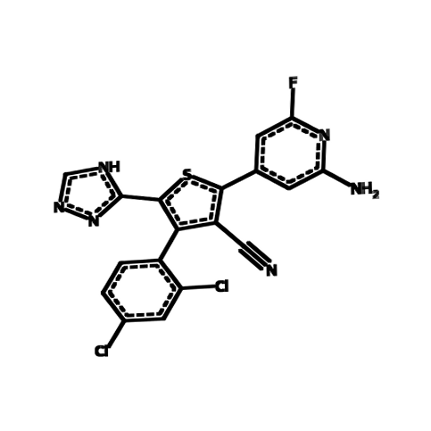 N#Cc1c(-c2cc(N)nc(F)c2)sc(-c2nnc[nH]2)c1-c1ccc(Cl)cc1Cl